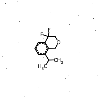 CC(C)c1cccc2c1COCC2(F)F